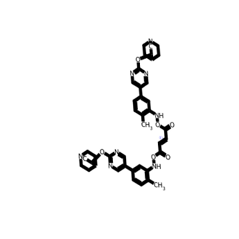 Cc1ccc(-c2cnc(OC3CN4CCC3CC4)nc2)cc1NOC(=O)/C=C/C(=O)ONc1cc(-c2cnc(OC3CN4CCC3CC4)nc2)ccc1C